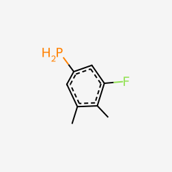 Cc1cc(P)cc(F)c1C